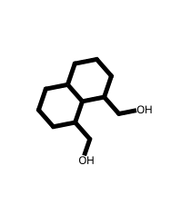 OCC1CCCC2CCCC(CO)C12